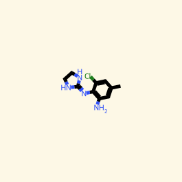 Cc1cc(N)c(N=C2NCCN2)c(Cl)c1